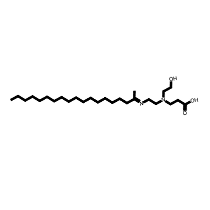 CCCCCCCCCCCCCCCCC/C(C)=N/CCN(CCO)CCC(=O)O